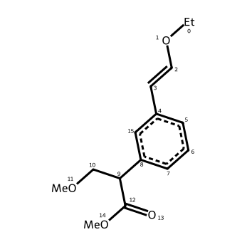 CCO/C=C/c1cccc(C(COC)C(=O)OC)c1